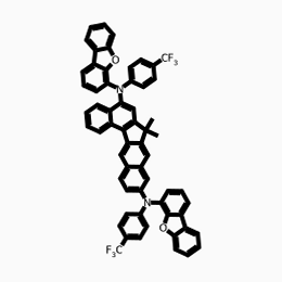 CC1(C)c2cc3cc(N(c4ccc(C(F)(F)F)cc4)c4cccc5c4oc4ccccc45)ccc3cc2-c2c1cc(N(c1ccc(C(F)(F)F)cc1)c1cccc3c1oc1ccccc13)c1ccccc21